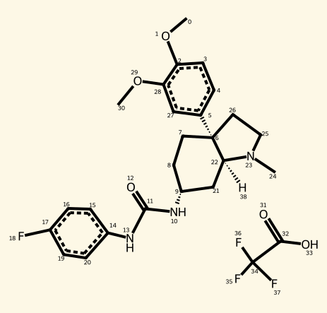 COc1ccc([C@@]23CC[C@@H](NC(=O)Nc4ccc(F)cc4)C[C@@H]2N(C)CC3)cc1OC.O=C(O)C(F)(F)F